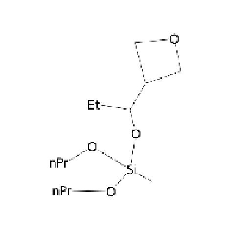 CCCO[Si](C)(OCCC)OC(CC)C1COC1